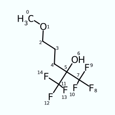 COCCCC(O)(C(F)(F)F)C(F)(F)F